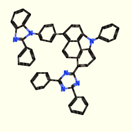 c1ccc(-c2nc(-c3ccccc3)nc(-c3ccc4c5c3ccc3c(-c6ccc(-n7c(-c8ccccc8)nc8ccccc87)cc6)ccc(c35)n4-c3ccccc3)n2)cc1